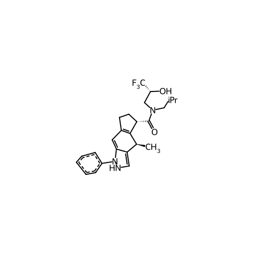 CC(C)CN(C[C@@H](O)C(F)(F)F)C(=O)[C@H]1CCC2=C1[C@@H](C)C1=CNN(c3ccccc3)C1=C2